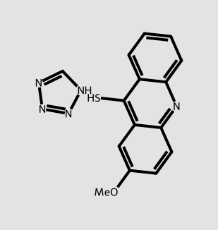 COc1ccc2nc3ccccc3c(S)c2c1.c1nnn[nH]1